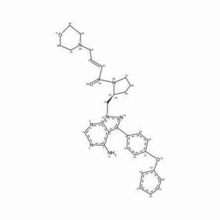 Nc1ncnc2c1c(-c1ccc(Oc3ccccc3)cc1)nn2C[C@@H]1CCCN1C(=O)C=CCN1CCOCC1